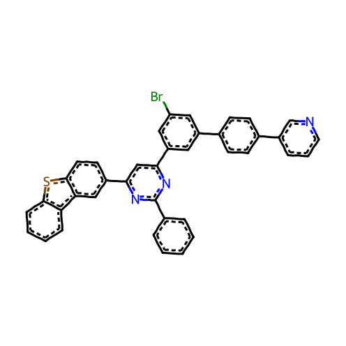 Brc1cc(-c2ccc(-c3cccnc3)cc2)cc(-c2cc(-c3ccc4sc5ccccc5c4c3)nc(-c3ccccc3)n2)c1